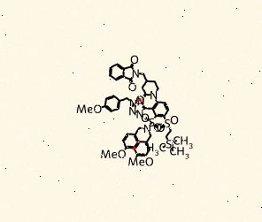 COc1ccc(CN(Cc2ccc(OC)cc2)S(=O)(=O)c2c(S(=O)(=O)CC[Si](C)(C)C)ccc(N3CCC(CN4C(=O)c5ccccc5C4=O)CC3=O)c2-c2nnn(Cc3ccc(OC)cc3)n2)cc1